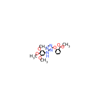 COC(=O)c1ccccc1Oc1ncnc(Nc2cc(OC)c(OC)c(OC)c2)n1